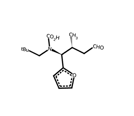 C[C@H](CC=O)[C@@H](c1ccco1)N(CC(C)(C)C)C(=O)O